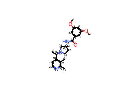 COc1cc(OC)cc(C(=O)N[C@@H]2CCN(C(C)c3ccnc(C)c3C)C2)c1